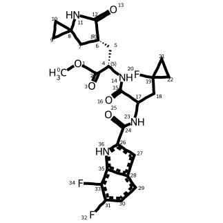 COC(=O)[C@H](C[C@@H]1CC2(CC2)NC1=O)NC(=O)C(CC1(F)CC1)NC(=O)c1cc2ccc(F)c(F)c2[nH]1